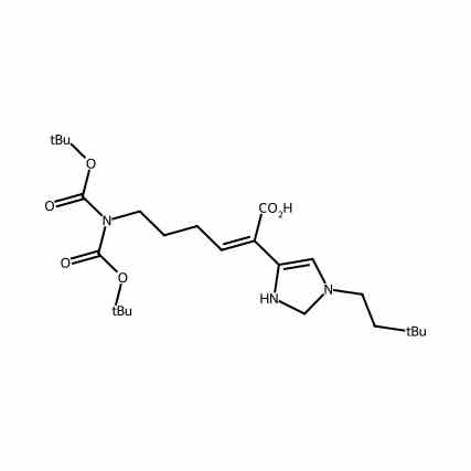 CC(C)(C)CCN1C=C(C(=CCCCN(C(=O)OC(C)(C)C)C(=O)OC(C)(C)C)C(=O)O)NC1